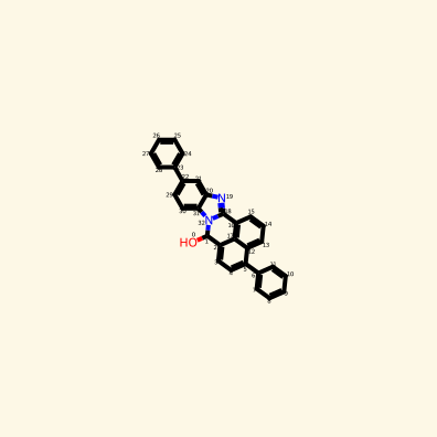 OC1c2ccc(-c3ccccc3)c3cccc(c23)-c2nc3cc(-c4ccccc4)ccc3n21